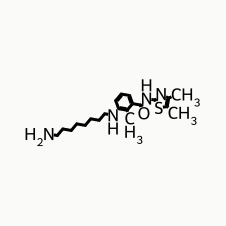 Cc1nc(NC(=O)c2cccc(NCCCCCCCCN)c2C)sc1C